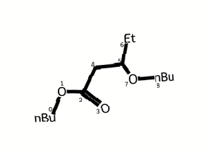 CCCCOC(=O)CC(CC)OCCCC